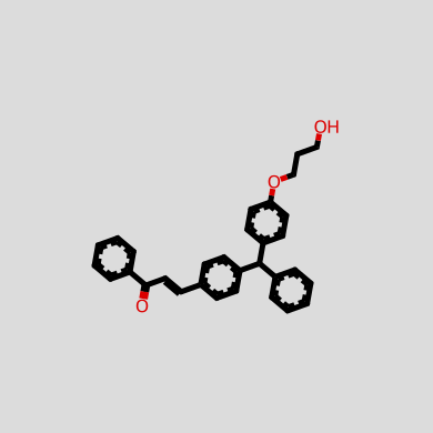 O=C(C=Cc1ccc(C(c2ccccc2)c2ccc(OCCCO)cc2)cc1)c1ccccc1